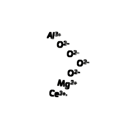 [Al+3].[Ce+3].[Mg+2].[O-2].[O-2].[O-2].[O-2]